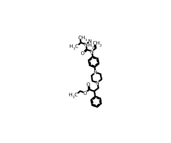 C=CN(C(=O)N(N)C(C)C)c1ccc(N2CCN(CC(C(=O)OCC)c3ccccc3)CC2)cc1